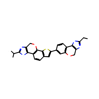 CCc1nc2c([nH]1)-c1ccc(-c3cc4ccc5c(c4s3)OCc3nc(C(C)C)[nH]c3-5)cc1OC2